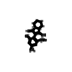 COc1cc(C)cc(Cl)c1C1=C(O)C2CCCCN2C1=O